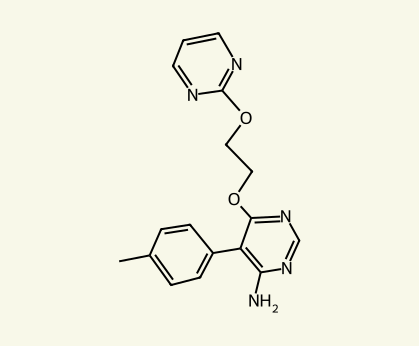 Cc1ccc(-c2c(N)ncnc2OCCOc2ncccn2)cc1